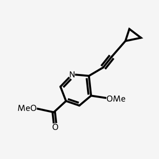 COC(=O)c1cnc(C#CC2CC2)c(OC)c1